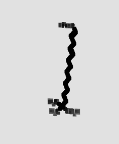 CCCCCC=CCC=CCCCCCCCCC(C)(C)C(=O)O